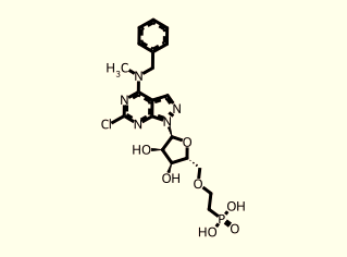 CN(Cc1ccccc1)c1nc(Cl)nc2c1cnn2[C@H]1O[C@H](COCCP(=O)(O)O)[C@@H](O)[C@H]1O